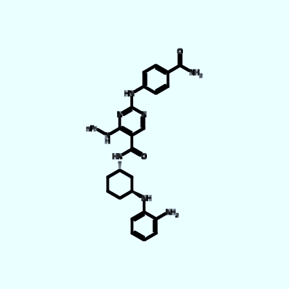 CCCNc1nc(Nc2ccc(C(N)=O)cc2)ncc1C(=O)N[C@H]1CCC[C@H](Nc2ccccc2N)C1